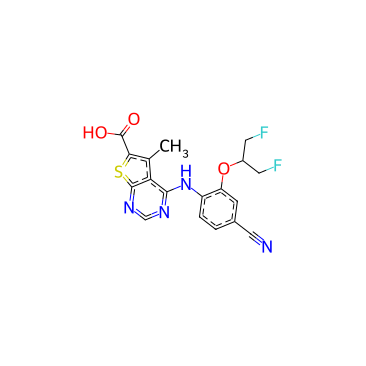 Cc1c(C(=O)O)sc2ncnc(Nc3ccc(C#N)cc3OC(CF)CF)c12